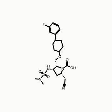 CN(C)S(=O)(=O)N[C@H]1C[C@@H](CC#N)N(C(=O)O)[C@H]1COC1CCC(c2cccc(F)c2)CC1